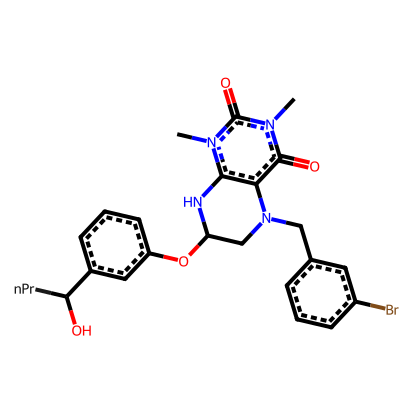 CCCC(O)c1cccc(OC2CN(Cc3cccc(Br)c3)c3c(n(C)c(=O)n(C)c3=O)N2)c1